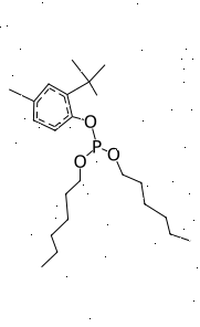 CCCCCCOP(OCCCCCC)Oc1ccc(C)cc1C(C)(C)C